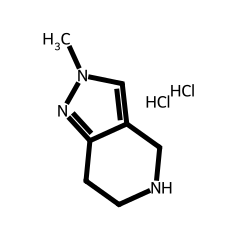 Cl.Cl.Cn1cc2c(n1)CCNC2